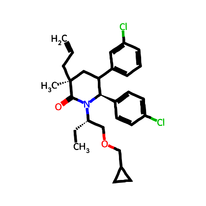 C=CC[C@@]1(C)CC(c2cccc(Cl)c2)[C@@H](c2ccc(Cl)cc2)N([C@@H](CC)COCC2CC2)C1=O